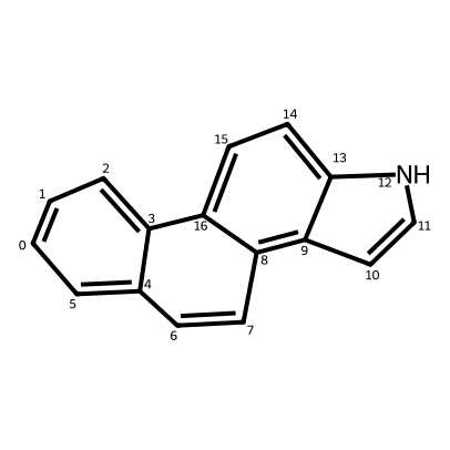 c1ccc2c(c1)ccc1c3cc[nH]c3ccc21